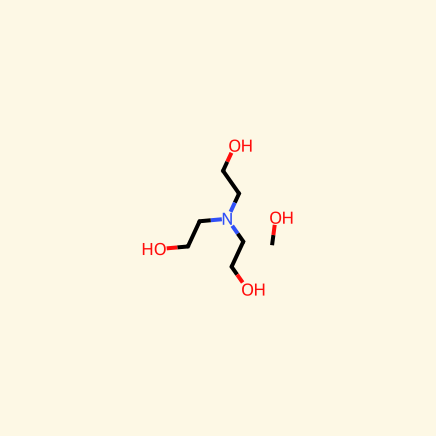 CO.OCCN(CCO)CCO